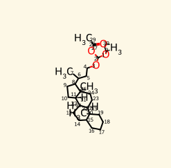 COC(OCCC(C)C1CC[C@H]2[C@@H]3CCC4CCCC[C@]4(C)[C@@H]3CC[C@]12C)OC(C)=O